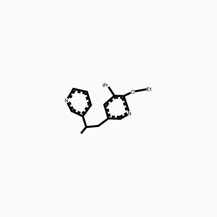 CCOc1ncc(CC(C)c2cccnc2)cc1C(C)C